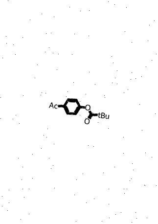 CC(=O)c1ccc(OC(=O)C(C)(C)C)cc1